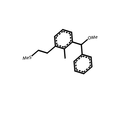 CO[C](c1ccccc1)c1cccc(CCSC)c1C